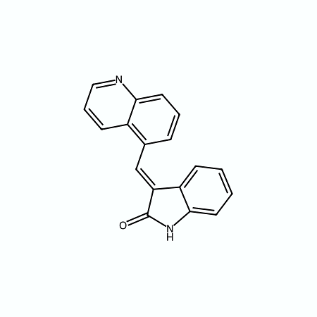 O=C1Nc2ccccc2/C1=C\c1cccc2ncccc12